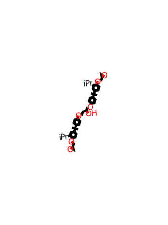 CC(C)c1cc(C(C)(C)c2ccc(OCCC(O)COc3ccc(C(C)(C)c4ccc(OCC5CO5)c(C(C)C)c4)cc3)cc2)ccc1OCC1CO1